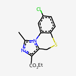 CCOC(=O)c1nc(C)n2c1CSc1ccc(Cl)cc1-2